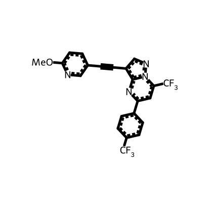 COc1ccc(C#Cc2cnn3c(C(F)(F)F)cc(-c4ccc(C(F)(F)F)cc4)nc23)cn1